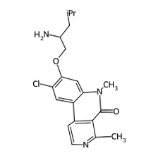 Cc1nccc2c1c(=O)n(C)c1cc(OCC(N)CC(C)C)c(Cl)cc21